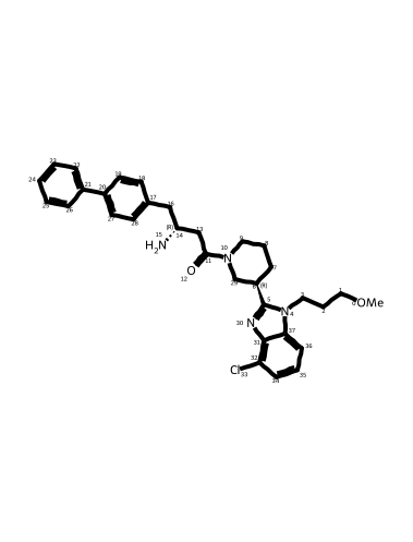 COCCCn1c([C@@H]2CCCN(C(=O)C[C@H](N)Cc3ccc(-c4ccccc4)cc3)C2)nc2c(Cl)cccc21